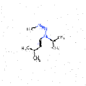 C/N=N\N(/C=C/C(C)C)C(C)C